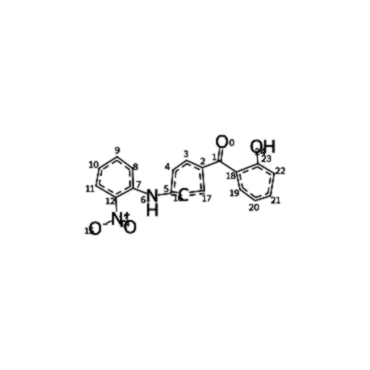 O=C(c1ccc(Nc2ccccc2[N+](=O)[O-])cc1)c1ccccc1O